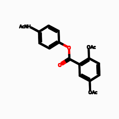 CC(=O)Nc1ccc(OC(=O)c2cc(OC(C)=O)ccc2OC(C)=O)cc1